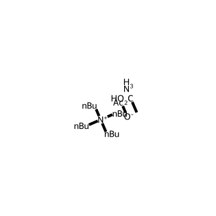 CC(=O)O.CC(=O)[O-].CCCC[N+](CCCC)(CCCC)CCCC.N